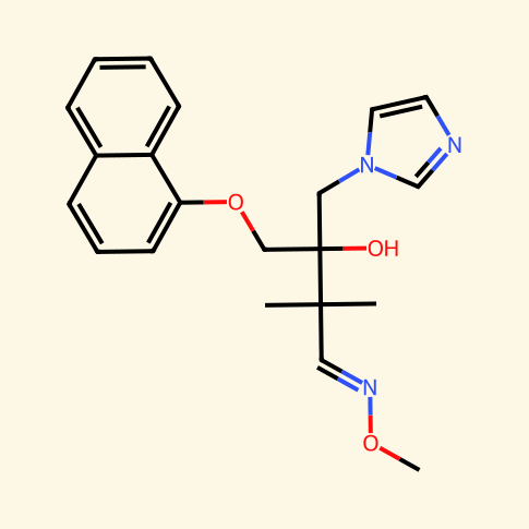 CON=CC(C)(C)C(O)(COc1cccc2ccccc12)Cn1ccnc1